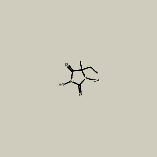 CCC1(C)C(=O)N(O)C(=O)N1O